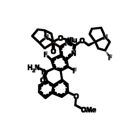 COCOc1cc(-c2c(C(N)=O)c(F)c3c(N4CC5CCC(C4)N5C(=O)OC(C)(C)C)nc(OC[C@@]45CCCN4C[C@H](F)C5)nc3c2F)c2c(F)cccc2c1